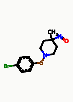 CC1(N=O)CCN(Sc2ccc(Br)cc2)CC1